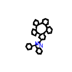 c1ccc(-c2nc(-c3ccc4c5ccccc5c5ccccc5c5ccccc5c5ccccc5c4c3)nc3ccccc23)cc1